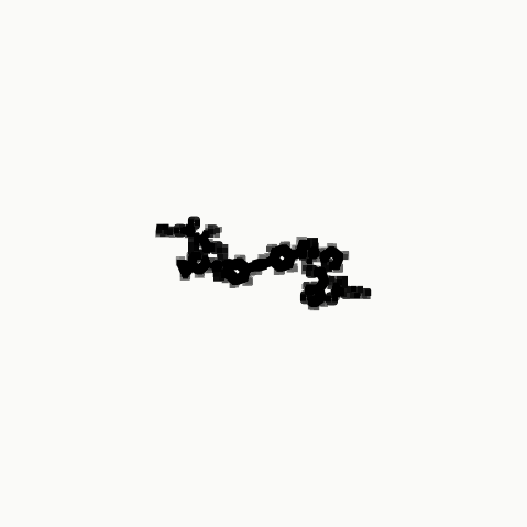 COC(=O)N[C@H](C(=O)N1CC2(CC2)C[C@H]1c1nc2ccc(C#Cc3ccc(-c4cnc([C@@H]5CCCN5C(=O)[C@H](NC(=O)OC)c5ccoc5)[nH]4)cc3)cc2[nH]1)C(C)C